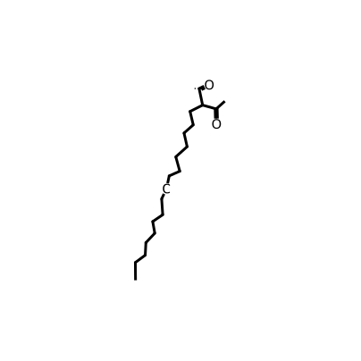 CCCCCCCCCCCCCCCCC([C]=O)C(C)=O